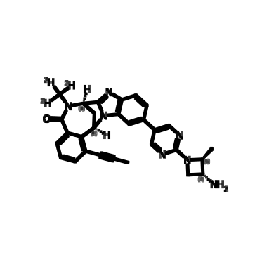 [2H]C([2H])([2H])N1C(=O)c2cccc(C#CC)c2[C@H]2C[C@@H]1c1nc3ccc(-c4cnc(N5C[C@@H](N)[C@@H]5C)nc4)cc3n12